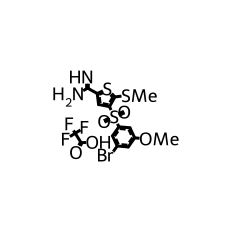 COc1cc(Br)cc(S(=O)(=O)c2cc(C(=N)N)sc2SC)c1.O=C(O)C(F)(F)F